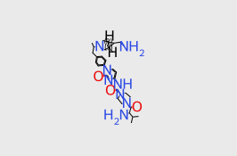 CC(C)C(N)C(=O)N1CCN(C(=O)Nc2ccn(-c3ccc(CC(C)N4C[C@@H]5C(CN)[C@@H]5C4)cc3)c(=O)n2)CC1